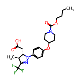 CCCCOC(=O)N1CCC(Oc2ccc(N3N=C(C(F)(F)F)[C@@H](C)[C@@H]3CC(=O)O)cc2)CC1